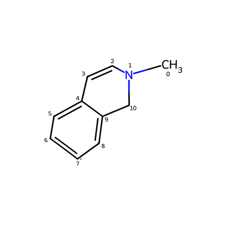 CN1C=Cc2cc[c]cc2C1